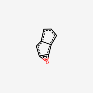 c1cc2cc3oc=3c-2c1